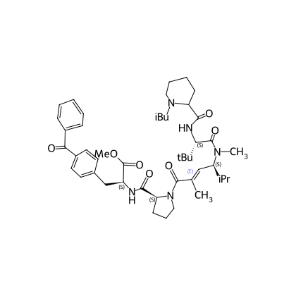 CCC(C)N1CCCCC1C(=O)N[C@H](C(=O)N(C)[C@H](/C=C(\C)C(=O)N1CCC[C@H]1C(=O)N[C@@H](Cc1ccc(C(=O)c2ccccc2)cc1)C(=O)OC)C(C)C)C(C)(C)C